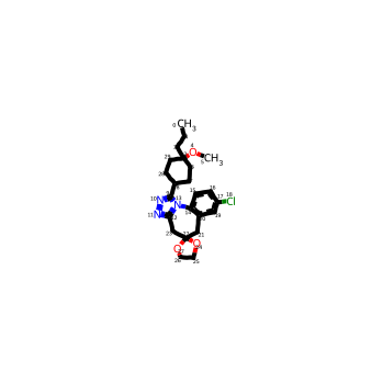 CCCC1(OC)CCC(c2nnc3n2-c2ccc(Cl)cc2CC2(C3)OCCO2)CC1